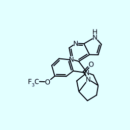 O=C(c1cccc(OC(F)(F)F)c1)N1C2CCC1CN(c1ncnc3[nH]ccc13)C2